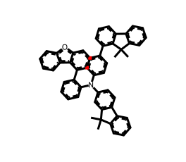 CC1(C)c2ccccc2-c2ccc(N(c3ccc(-c4cccc5c4C(C)(C)c4ccccc4-5)cc3)c3ccccc3-c3cccc4oc5ccccc5c34)cc21